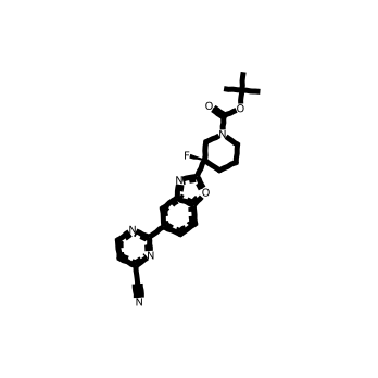 CC(C)(C)OC(=O)N1CCC[C@](F)(c2nc3cc(-c4nccc(C#N)n4)ccc3o2)C1